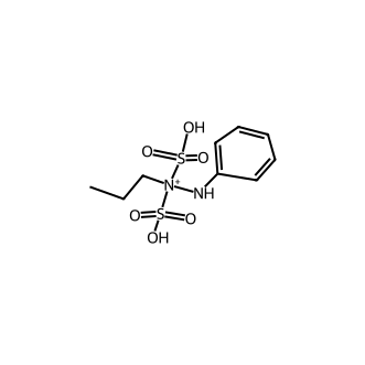 CCC[N+](Nc1ccccc1)(S(=O)(=O)O)S(=O)(=O)O